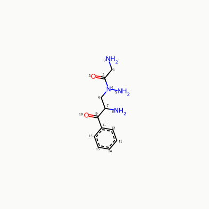 NCC(=O)N(N)CC(N)C(=O)c1ccccc1